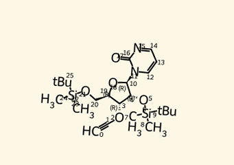 C#CO[C@H]1[C@@H](O[Si](C)(C)C(C)(C)C)[C@H](n2cccnc2=O)O[C@@H]1CO[Si](C)(C)C(C)(C)C